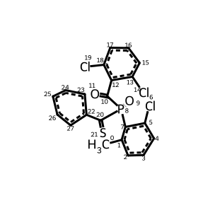 Cc1cccc(Cl)c1P(=O)(C(=O)c1c(Cl)cccc1Cl)C(=S)c1ccccc1